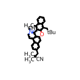 Cc1c2c(c(CC(C)(C)C)c3ccccc13)Oc1cc3cc(CC(C)(C)C#N)ccc3c3cc[n+](C)c-2c13